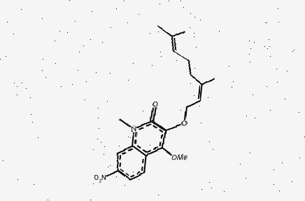 COc1c(OCC=C(C)CCC=C(C)C)c(=O)n(C)c2cc([N+](=O)[O-])ccc12